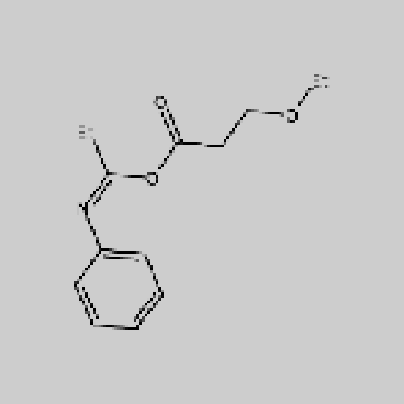 CCOCCC(=O)OC(CC)=Nc1ccccc1